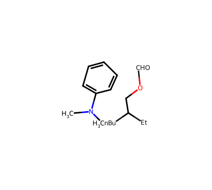 CCCCC(CC)COC=O.CN(C)c1ccccc1